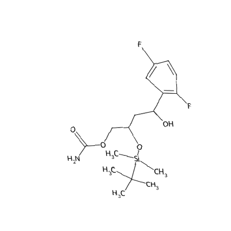 CC(C)(C)[Si](C)(C)OC(COC(N)=O)CC(O)c1cc(F)ccc1F